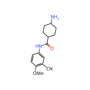 COc1ccc(NC(=O)C2CCC(N)CC2)cc1C#N